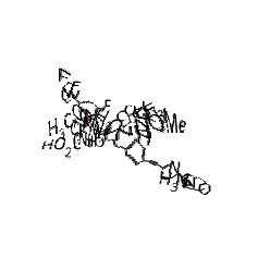 COC(=O)NC(C(=O)NC(Cc1ccc(C#Cc2ccc(N3CC4COCC(C3)N4C)nc2)cc1)C(O)CN(Cc1c(F)cc(-c2ccn(CC(F)F)n2)cc1F)NC(=O)C(NC(=O)O)C(C)(C)C(F)(F)F)C(C)(C)C(F)(F)F